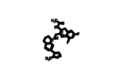 CC(=O)N[C@@H](Cc1cc(F)cc(F)c1)[C@H](O)CN[C@H]1CCCc2ccc(-c3cncn3C)cc21